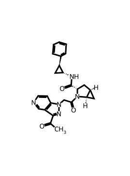 CC(=O)c1nn(CC(=O)N2[C@@H]3C[C@@H]3C[C@H]2C(=O)N[C@@H]2C[C@H]2c2ccccc2)c2ccncc12